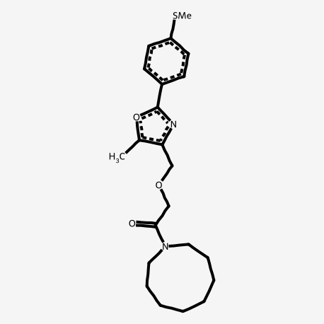 CSc1ccc(-c2nc(COCC(=O)N3CCCCCCCC3)c(C)o2)cc1